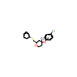 O=C(O)C1(Oc2ccc(Cl)cc2)CCOC(CSc2ccccc2)C1